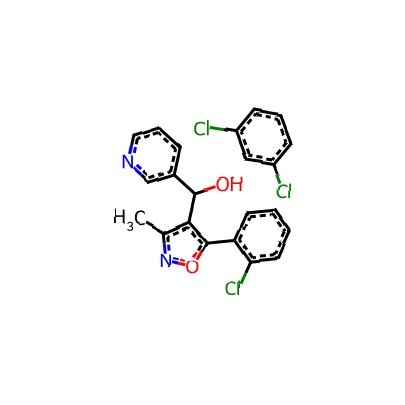 Cc1noc(-c2ccccc2Cl)c1C(O)c1cccnc1.Clc1cccc(Cl)c1